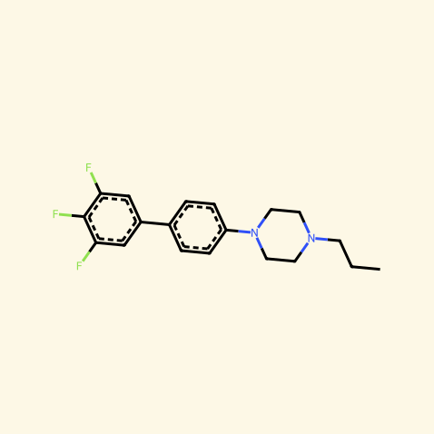 CCCN1CCN(c2ccc(-c3cc(F)c(F)c(F)c3)cc2)CC1